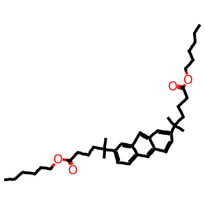 CCCCCCOC(=O)CCCC(C)(C)c1ccc2cc3ccc(C(C)(C)CCCC(=O)OCCCCCC)cc3cc2c1